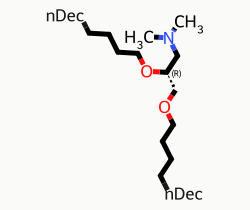 CCCCCCCCCCCCCCOC[C@@H](CN(C)C)OCCCCCCCCCCCCCC